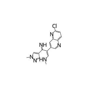 CN/C=C(\C(=N)c1cnn(C)c1)c1cnc2ccc(Cl)nc2c1